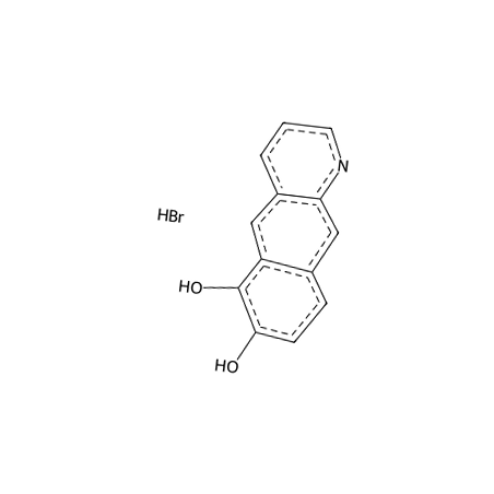 Br.Oc1ccc2cc3ncccc3cc2c1O